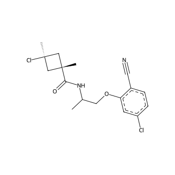 CC(COc1cc(Cl)ccc1C#N)NC(=O)[C@]1(C)C[C@@](C)(Cl)C1